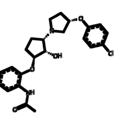 CC(=O)Nc1ccccc1O[C@H]1CC[C@H](N2CC[C@H](Oc3ccc(Cl)cc3)C2)[C@@H]1O